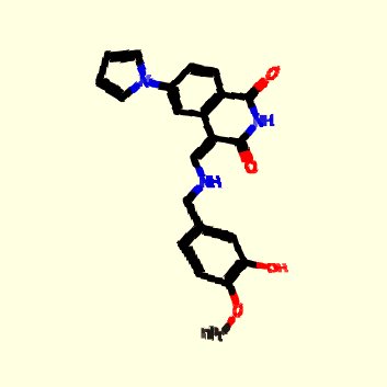 CCCOc1ccc(CNC=C2C(=O)NC(=O)c3ccc(-n4cccc4)cc32)cc1O